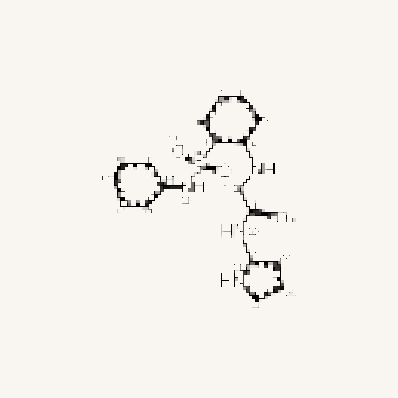 O=C(CNc1ccccc1S(=O)(=O)Nc1ccccc1)Nc1ccc[nH]1